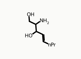 CCCC=CC(O)C(N)CO